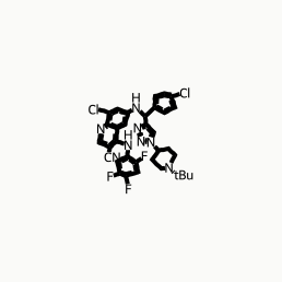 CC(C)(C)N1CCC(n2cc(C(Nc3cc(Cl)c4ncc(C#N)c(Nc5cc(F)c(F)cc5F)c4c3)c3ccc(Cl)cc3)nn2)CC1